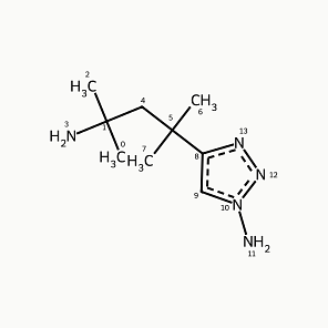 CC(C)(N)CC(C)(C)c1cn(N)nn1